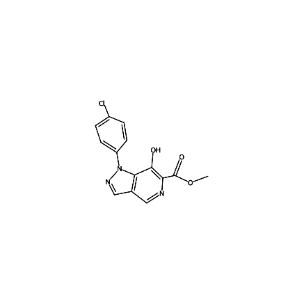 COC(=O)c1ncc2cnn(-c3ccc(Cl)cc3)c2c1O